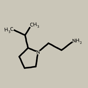 CC(C)C1CCCN1CCN